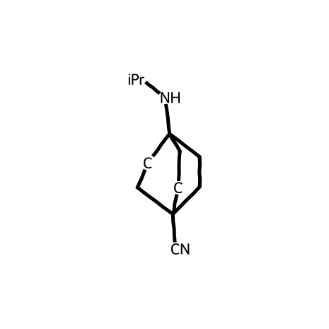 CC(C)NC12CCC(C#N)(CC1)CC2